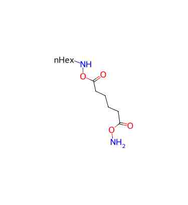 CCCCCCNOC(=O)CCCCC(=O)ON